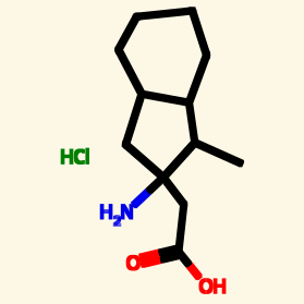 CC1C2CCCCC2CC1(N)CC(=O)O.Cl